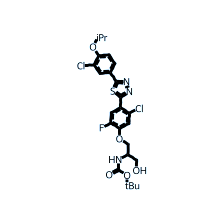 CC(C)Oc1ccc(-c2nnc(-c3cc(F)c(OCC(CO)NC(=O)OC(C)(C)C)cc3Cl)s2)cc1Cl